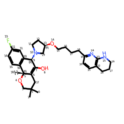 CC1(C)CO[C@H]2C(=C(O)[C@H](N3CC[C@@H](OCCCCc4ccc5c(n4)NCCC5)C3)c3cc(F)ccc32)C1